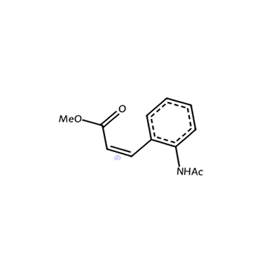 COC(=O)/C=C\c1ccccc1NC(C)=O